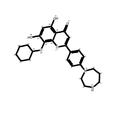 O=c1cc(-c2ccc(N3CCCNCC3)cc2)oc2c(OC3CCCCC3)c(O)cc(O)c12